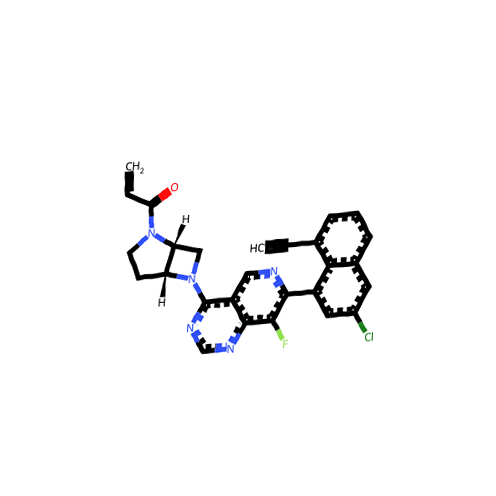 C#Cc1cccc2cc(Cl)cc(-c3ncc4c(N5C[C@@H]6[C@H]5CCN6C(=O)C=C)ncnc4c3F)c12